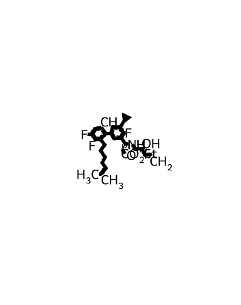 C=CC[C@@H](O)C(=O)N[C@@H](CC(=O)OCC)c1cc(-c2c(C)cc(F)c(F)c2CCCCC=C(C)C)cc(C2CC2)c1F